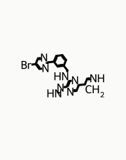 C=C(C=N)c1cnc(N=N)c(NCc2cccc(-c3ncc(Br)cn3)c2)n1